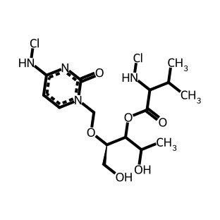 CC(C)C(NCl)C(=O)OC(C(C)O)[C@@H](CO)OCn1ccc(NCl)nc1=O